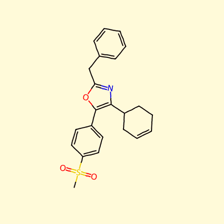 CS(=O)(=O)c1ccc(-c2oc(Cc3ccccc3)nc2C2CC=CCC2)cc1